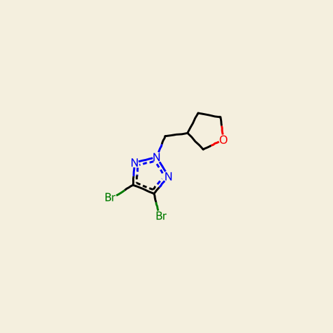 Brc1nn(CC2CCOC2)nc1Br